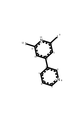 Ic1cc(-c2cccnc2)cc(I)n1